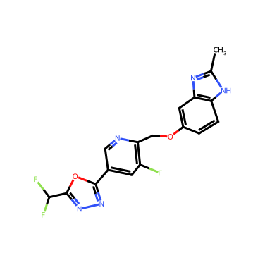 Cc1nc2cc(OCc3ncc(-c4nnc(C(F)F)o4)cc3F)ccc2[nH]1